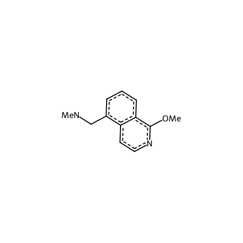 CNCc1cccc2c(OC)nccc12